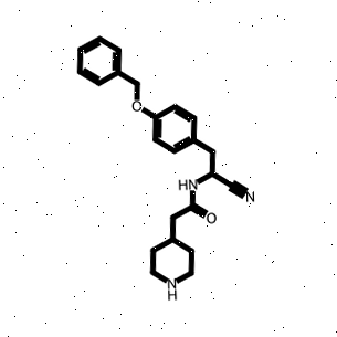 N#CC(Cc1ccc(OCc2ccccc2)cc1)NC(=O)CC1CCNCC1